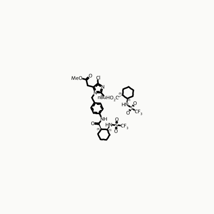 CCCCc1nc(Cl)c(CC(=O)OC)n1Cc1ccc(NC(=O)[C@@H]2CCCC[C@@H]2NS(=O)(=O)C(F)(F)F)cc1.O=C(O)[C@@H]1CCCC[C@H]1NS(=O)(=O)C(F)(F)F